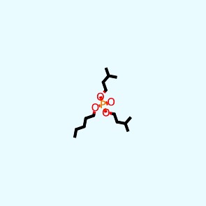 CCCCCOP(=O)(OCCC(C)C)OCCC(C)C